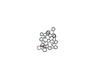 C/C=c1/cccc/c1=C1\C=CC=C[C@]1(C)C1=Cc2c(c3ccc4c5ccccc5sc4c3n2-c2c(C#N)c(-n3c4ccccc4c4ccccc43)c(-n3c4cccc(-c5ccccc5-c5ccccc5)c4c4ccc5c6ccccc6sc5c43)c(C#N)c2-n2c3ccccc3c3ccccc32)C1